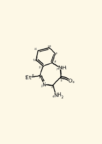 CCC1=NC(N)C(=O)Nc2ccccc21